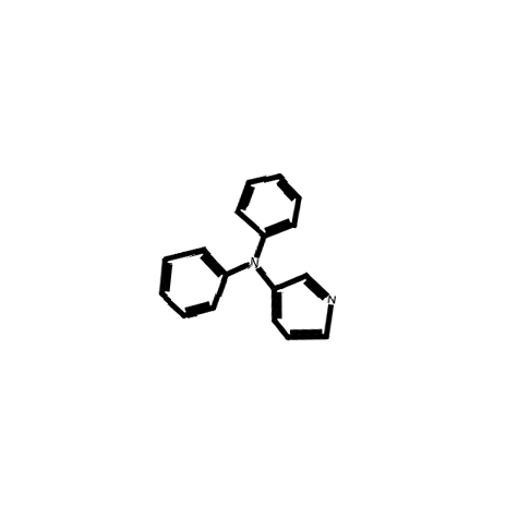 [c]1ncccc1N(c1ccccc1)c1ccccc1